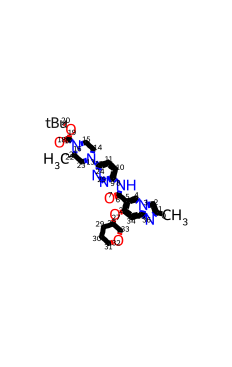 Cc1cn2cc(C(=O)Nc3ccc(N4CCN(C(=O)OC(C)(C)C)[C@@H](C)C4)nn3)c(OC3CCCOC3)cc2n1